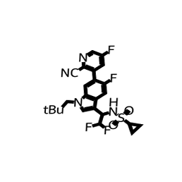 CC(C)(C)Cn1cc(C(NS(=O)(=O)C2CC2)C(F)F)c2cc(F)c(-c3cc(F)cnc3C#N)cc21